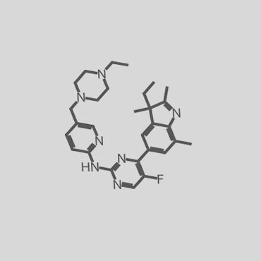 CCN1CCN(Cc2ccc(Nc3ncc(F)c(-c4cc(C)c5c(c4)C(C)(CC)C(C)=N5)n3)nc2)CC1